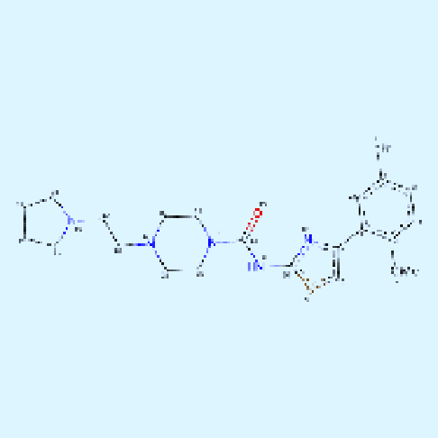 CCCc1ccc(OC)c(-c2csc(NC(=O)N3CCN(CCN4CCCC4)CC3)n2)c1